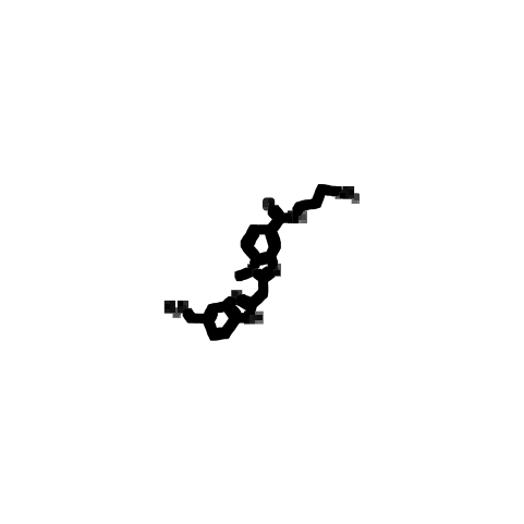 Cn1c(Cc2nc3cc(CN)ccc3[nH]2)nc2cc(C(=O)NCCCN)ccc21